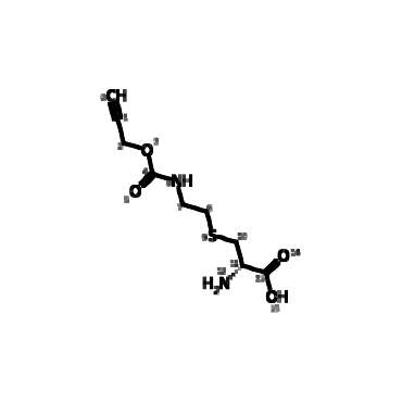 C#CCOC(=O)NCCSC[C@@H](N)C(=O)O